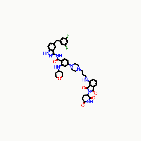 O=C1CCC(N2C(=O)c3cccc(NCCCN4CCN(c5ccc(C(=O)Nc6n[nH]c7ccc(Cc8cc(F)cc(F)c8)cc67)c(NC6CCOCC6)c5)CC4)c3C2=O)C(=O)N1